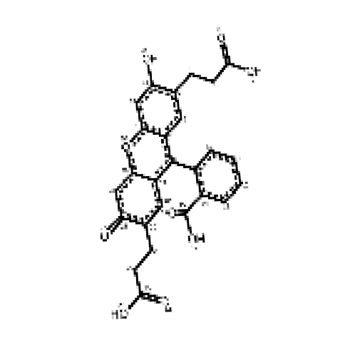 O=C(O)CCc1cc2c(-c3ccccc3C(=O)O)c3cc(CCC(=O)O)c(=O)cc-3oc2cc1O